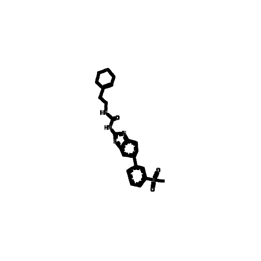 CS(=O)(=O)c1cccc(-c2ccc3nc(NC(=O)NCCC4=CCCCC4)sc3c2)c1